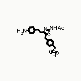 CC(=O)Nc1nc(CCc2ccc(N)cc2)c(Cc2ccc(C[SH](=O)=O)cc2)s1